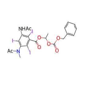 CC(=O)Nc1c(I)c(C(=O)OC(C)OC(=O)OCc2ccccc2)c(I)c(N(C)C(C)=O)c1I